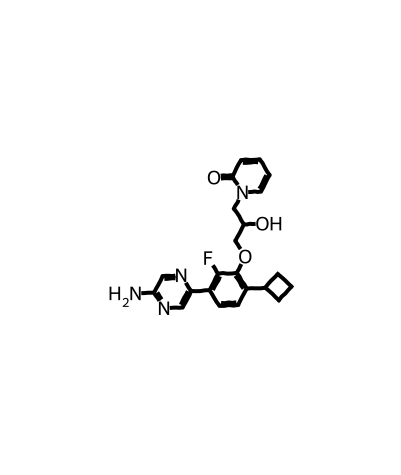 Nc1cnc(-c2ccc(C3CCC3)c(OCC(O)Cn3ccccc3=O)c2F)cn1